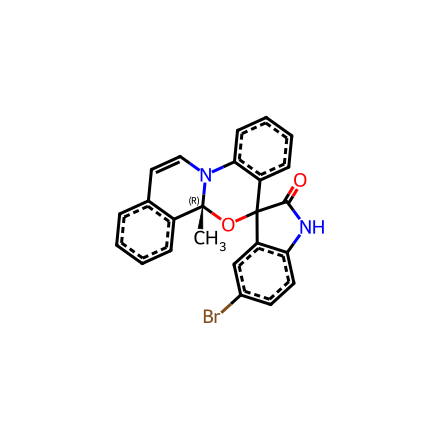 C[C@]12OC3(C(=O)Nc4ccc(Br)cc43)c3ccccc3N1C=Cc1ccccc12